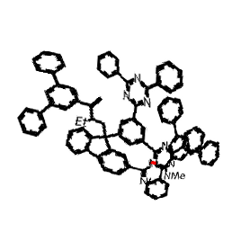 C=C(c1cc(-c2ccccc2)cc(-c2ccccc2)c1)C(CC)CC1(c2cc(-c3nc(-c4ccccc4)nc(-c4ccccc4)n3)cc(-c3nc(-c4ccccc4)nc(-c4ccccc4)n3)c2)c2ccccc2-c2ccc(C(=N)/N=C(\NC)c3cc(-c4ccccc4)cc(-c4ccccc4)c3)cc21